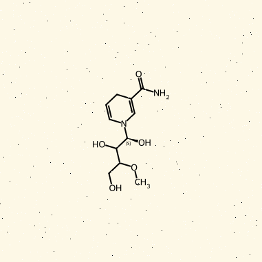 COC(CO)C(O)[C@H](O)N1C=CCC(C(N)=O)=C1